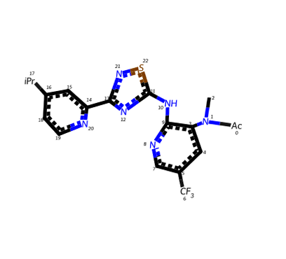 CC(=O)N(C)c1cc(C(F)(F)F)cnc1Nc1nc(-c2cc(C(C)C)ccn2)ns1